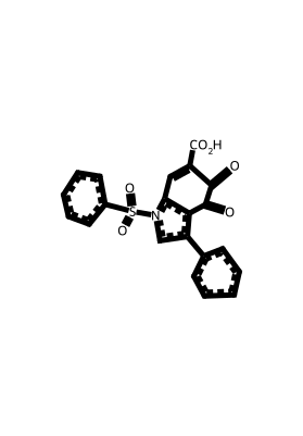 O=C(O)C1=Cc2c(c(-c3ccccc3)cn2S(=O)(=O)c2ccccc2)C(=O)C1=O